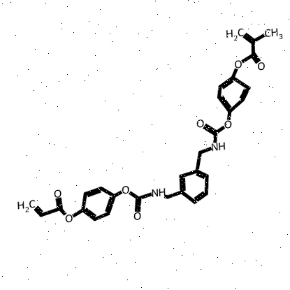 C=CC(=O)Oc1ccc(OC(=O)NCc2cccc(CNC(=O)Oc3ccc(OC(=O)C(=C)C)cc3)c2)cc1